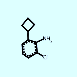 Nc1c(Cl)cccc1C1CCC1